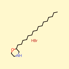 Br.CCCCCCCCCCCCCCCCC1CNCCO1